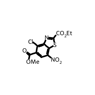 CCOC(=O)c1nc2c(Cl)c(C(=O)OC)cc([N+](=O)[O-])c2s1